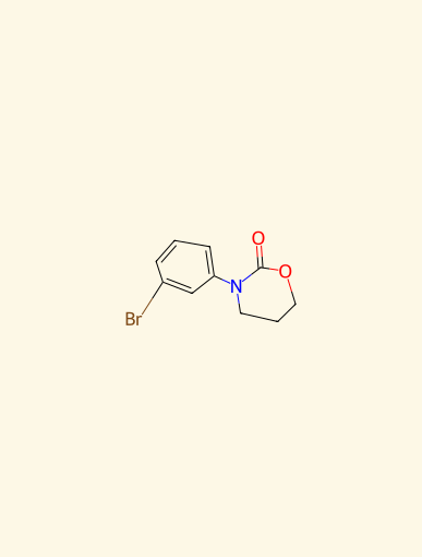 O=C1OCCCN1c1cccc(Br)c1